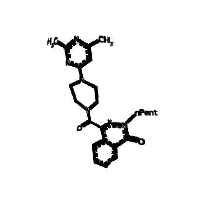 CCCCCn1nc(C(=O)N2CCN(c3cc(C)nc(C)n3)CC2)c2ccccc2c1=O